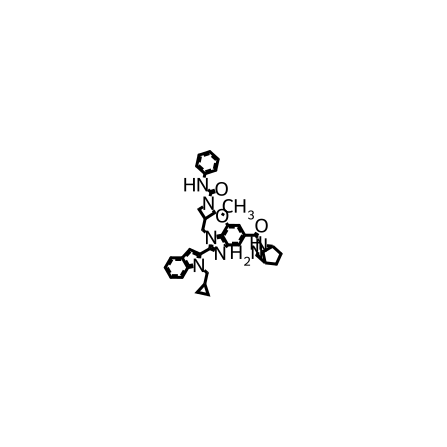 COc1cc(C(=O)N2CC3CCC2[C@@H]3N)cc2nc(-c3cc4ccccc4n3CC3CC3)n(CC3CN(C(=O)Nc4ccccc4)C3)c12